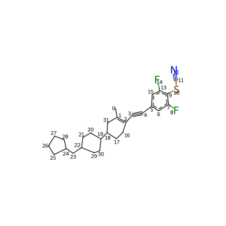 CC1=C(C#Cc2cc(F)c(SC#N)c(F)c2)CCC(C2CCC(CC3CCCC3)CC2)C1